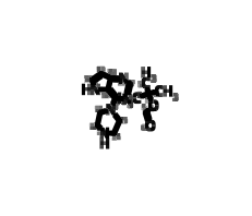 CC(C)(C)OC=O.c1nc(N2CCNCC2)c2[nH]ccc2n1